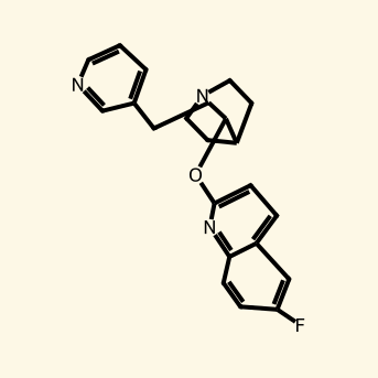 Fc1ccc2nc(OC3C4CCN(CC4)C3Cc3cccnc3)ccc2c1